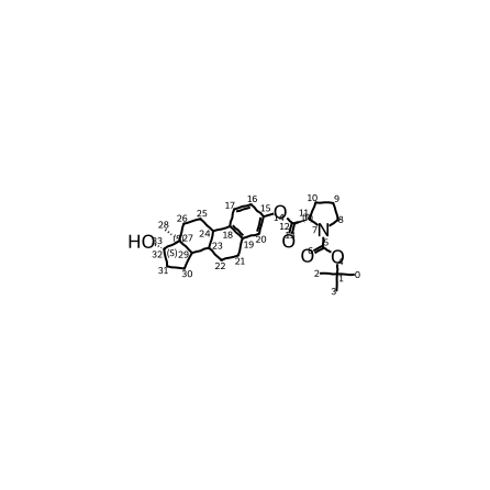 CC(C)(C)OC(=O)N1CCC[C@@H]1C(=O)Oc1ccc2c(c1)CCC1C2CC[C@@]2(C)C1CC[C@@H]2O